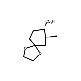 C[C@H]1CC2(CC[C@@H]1C(=O)O)OCCO2